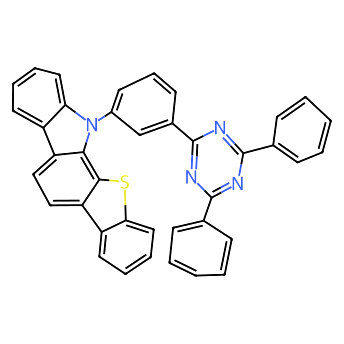 c1ccc(-c2nc(-c3ccccc3)nc(-c3cccc(-n4c5ccccc5c5ccc6c7ccccc7sc6c54)c3)n2)cc1